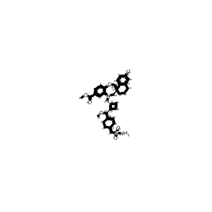 COC(=O)c1ccc2c(c1)N(C[C@@H]1CC[C@H]1C(OC)C1=CCC(CS(N)(=O)=O)CC1)C[C@@]1(CCCc3cc(Cl)ccc31)CO2